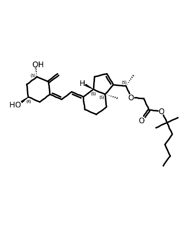 C=C1C(=CC=C2CCC[C@]3(C)C([C@H](C)OCC(=O)OC(C)(C)CCCC)=CC[C@@H]23)C[C@@H](O)C[C@@H]1O